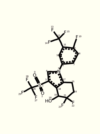 O=S(=O)(c1cn(-c2ccc(F)c(C(F)(F)F)c2)c2c1C(O)C(F)(F)CC2)C(F)(F)F